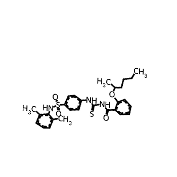 CCCCC(C)Oc1ccccc1C(=O)NC(=S)Nc1ccc(S(=O)(=O)Nc2c(C)cccc2C)cc1